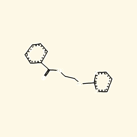 O=C(NCCNc1ncccn1)c1ccccc1